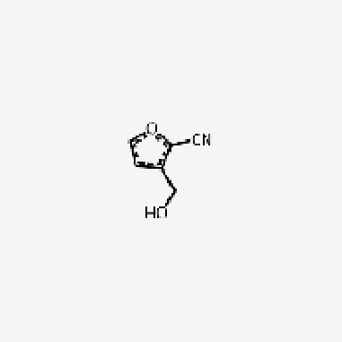 N#Cc1occc1CO